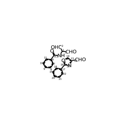 O=CC(C=O)NC(=O)c1ccccc1.O=Cc1coc(-c2ccccc2)n1